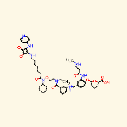 CCN(CCON(C(=O)CCCCCCNc1c(Nc2ccncc2)c(=O)c1=O)C1CCCCC1)C(=O)c1cccc(NCc2ccc(OC3CCCC(C(=O)O)O3)c(NC(=O)CCNC)c2)c1